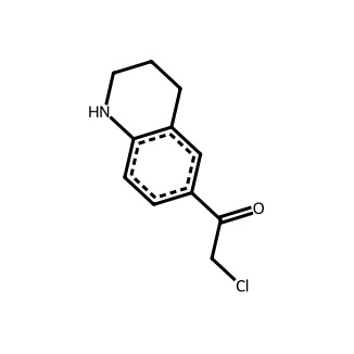 O=C(CCl)c1ccc2c(c1)CCCN2